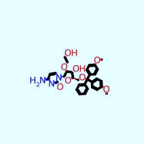 COc1ccc(C(OC[C@H]2O[C@@H](n3ccc(N)nc3=O)C(OCCO)C2O)(c2ccccc2)c2ccc(OC)cc2)cc1